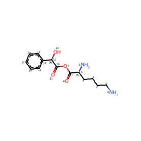 NCCCC[C@H](N)C(=O)OC(=O)[C@H](O)c1ccccc1